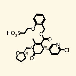 CC1=C(C(=O)OCc2ccccc2OCCS(=O)(=O)O)[C@@H](c2ccc(Cl)nc2)CC(=O)N1C[C@H]1CCCO1